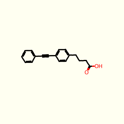 O=C(O)CCCc1ccc(C#Cc2ccccc2)cc1